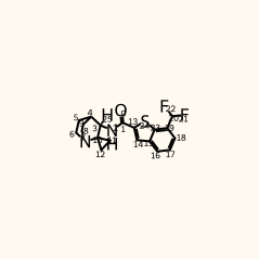 O=C(N[C@H]1C2CCN(CC2)C12CC2)c1cc2cccc(C(F)F)c2s1